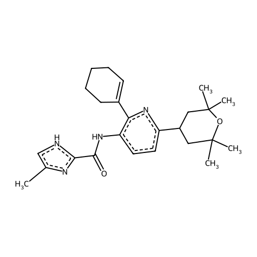 Cc1c[nH]c(C(=O)Nc2ccc(C3CC(C)(C)OC(C)(C)C3)nc2C2=CCCCC2)n1